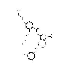 COCCNc1cc(OCCN(C)C)ccc1C(=O)Nc1nn(C(=O)O)c2c1CN(S(=O)(=O)c1cc(F)cc(F)c1)CC2